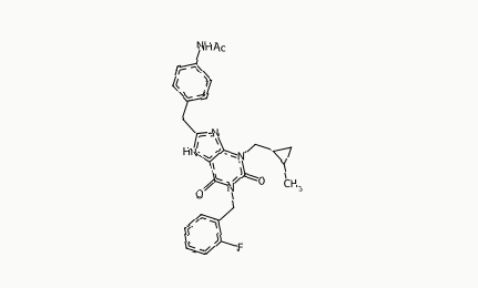 CC(=O)Nc1ccc(Cc2nc3c([nH]2)c(=O)n(Cc2ccccc2F)c(=O)n3CC2CC2C)cc1